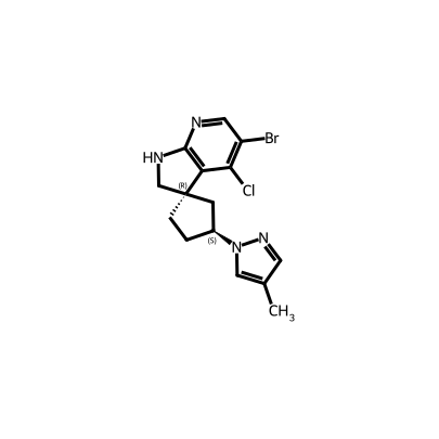 Cc1cnn([C@H]2CC[C@@]3(CNc4ncc(Br)c(Cl)c43)C2)c1